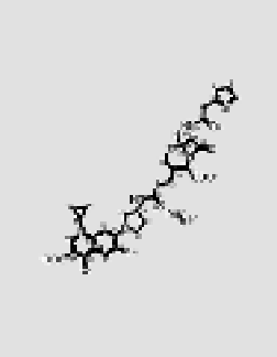 O=C(Cc1cccs1)N[C@@H]1C(=O)N2C(C(=O)[O-])=C(CSC(=S)NC3CCN(c4cc5c(cc4F)c(=O)c(C(=O)[O-])cn5C4CC4)C3)CS[C@H]12.[Na+].[Na+]